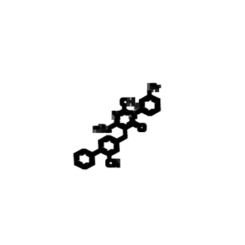 CCCCc1nc(C)n(-c2cccc(C(C)C)c2)c(=O)c1Cc1ccc(-c2ccccc2)c(C#N)c1